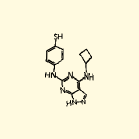 Sc1ccc(Nc2nc(NC3CCC3)c3cn[nH]c3n2)cc1